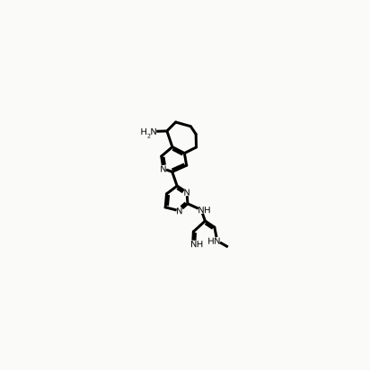 CN/C=C(\C=N)Nc1nccc(-c2cc3c(cn2)C(N)CCCC3)n1